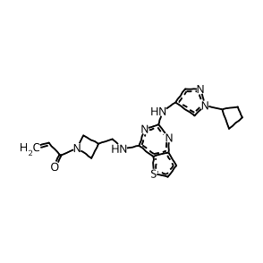 C=CC(=O)N1CC(CNc2nc(Nc3cnn(C4CCC4)c3)nc3ccsc23)C1